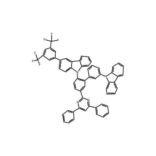 FC(F)(F)c1cc(-c2ccc3c(c2)c2ccccc2n3-c2ccc(-c3nc(-c4ccccc4)cc(-c4ccccc4)n3)cc2-c2cccc(-n3c4ccccc4c4ccccc43)c2)cc(C(F)(F)F)c1